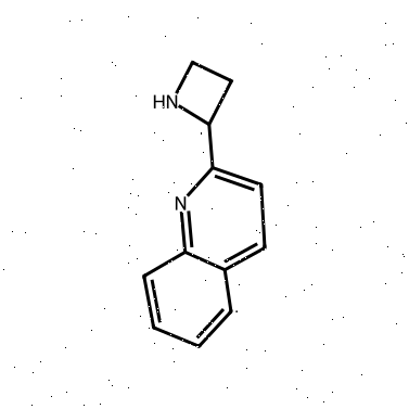 [c]1cccc2nc(C3CCN3)ccc12